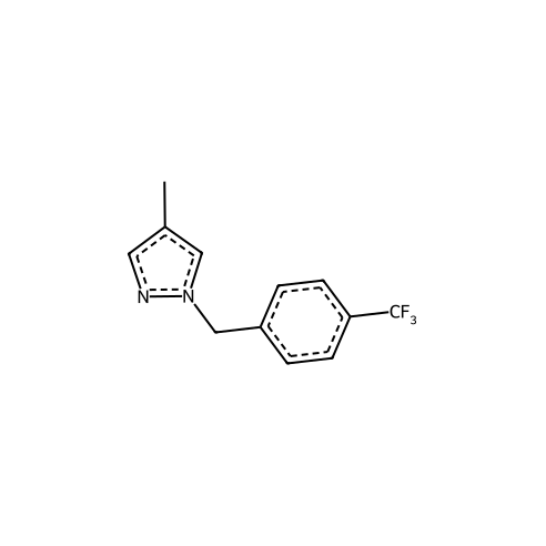 Cc1cnn(Cc2ccc(C(F)(F)F)cc2)c1